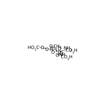 CC1C(=O)N(CCOCCOCCC(=O)O)C(=O)C1SCC(NC(=O)CCC(N)C(=O)O)C(=O)NCC(=O)O